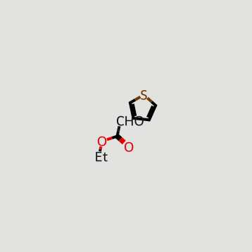 CCOC(=O)C=O.c1ccsc1